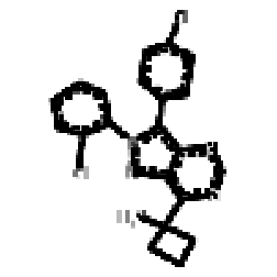 NC1(c2ncnc3c(-c4ccc(Cl)cc4)n(-c4ccccc4Cl)nc23)CCC1